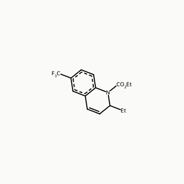 CCOC(=O)N1c2ccc(C(F)(F)F)cc2C=CC1CC